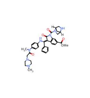 COC(=O)c1ccc2c(c1)N(C(=O)N1C[C@@H]3C[C@H]1CN3)C(=O)/C2=C(\Nc1ccc(N(C)C(=O)CN2CCN(C)CC2)cc1)c1ccccc1